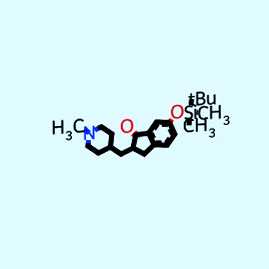 CN1CCC(CC2Cc3ccc(O[Si](C)(C)C(C)(C)C)cc3C2=O)CC1